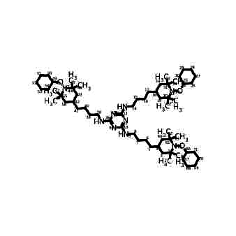 CC1(C)CC(CCCCNc2nc(NCCCCC3CC(C)(C)N(OC4CCCCC4)C(C)(C)C3)nc(NCCCCC3CC(C)(C)N(OC4CCCCC4)C(C)(C)C3)n2)CC(C)(C)N1OC1CCCCC1